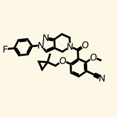 COc1c(C#N)ccc(OCC2(C)CC2)c1C(=O)N1CCc2nn(-c3ccc(F)cc3)cc2C1